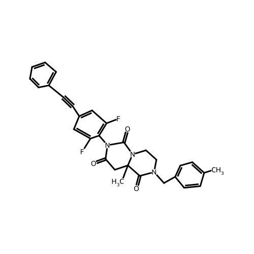 Cc1ccc(CN2CCN3C(=O)N(c4c(F)cc(C#Cc5ccccc5)cc4F)C(=O)CC3(C)C2=O)cc1